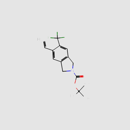 C=Cc1cc2c(cc1C(F)(F)F)CN(C(=O)OC(C)(C)C)C2